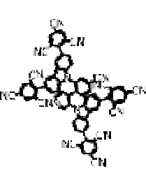 N#Cc1cc(C#N)c(-c2ccc3c(c2)c2cc(-c4c(C#N)cc(C#N)cc4C#N)ccc2n3-c2cnccc2-c2ccc(C#N)cc2-n2c3ccc(-c4c(C#N)cc(C#N)cc4C#N)cc3c3cc(-c4c(C#N)cc(C#N)cc4C#N)ccc32)c(C#N)c1